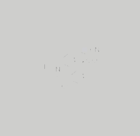 CN(C)c1ccc(/C=C(/C#N)S(=O)(=O)Cc2ccc(Cl)cc2)cc1